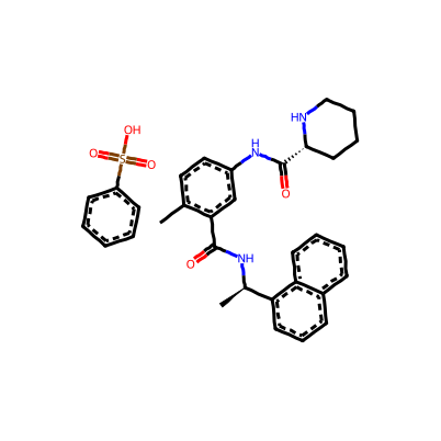 Cc1ccc(NC(=O)[C@H]2CCCCN2)cc1C(=O)N[C@H](C)c1cccc2ccccc12.O=S(=O)(O)c1ccccc1